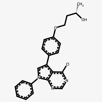 C[C@H](O)CCOc1ccc(-c2cn(-c3ccccc3)c3ncnc(Cl)c23)cc1